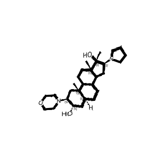 C[C@]12CCC3C(CC[C@H]4C[C@H](O)[C@@H](N5CCOCC5)C[C@]34C)C1C[C@H](N1CCCC1)[C@@]2(C)O